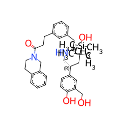 C[C@H](Cc1cccc(CCC(=O)N2CCc3ccccc3C2)c1)NC[C@H](CC(C)(C)[Si](C)(C)O)c1ccc(O)c(CO)c1